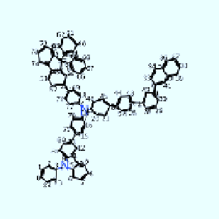 c1ccc(-n2c3ccccc3c3cc(-c4ccc(N(c5ccc(-c6ccc(-c7cccc(-c8ccc9ccccc9c8)c7)cc6)cc5)c5ccc(-c6ccc7c(c6)C(c6ccccc6)(c6ccccc6)c6ccccc6-7)cc5)cc4)ccc32)cc1